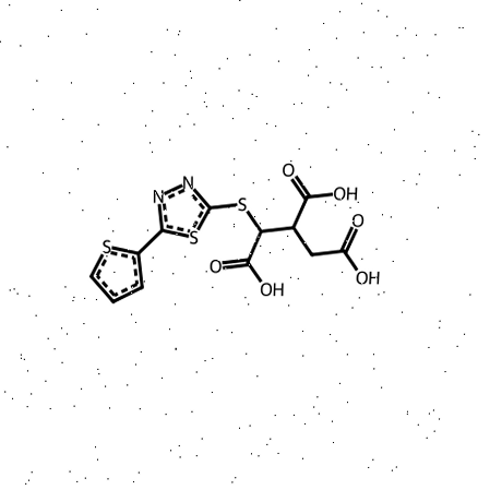 O=C(O)CC(C(=O)O)C(Sc1nnc(-c2cccs2)s1)C(=O)O